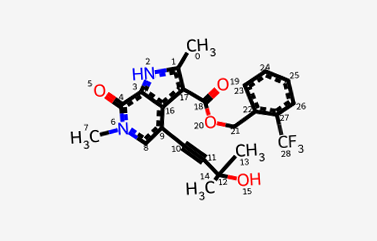 Cc1[nH]c2c(=O)n(C)cc(C#CC(C)(C)O)c2c1C(=O)OCc1ccccc1C(F)(F)F